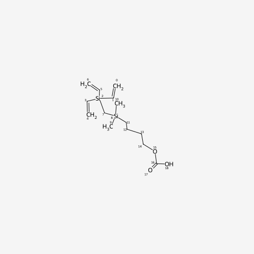 C=C[Si](C=C)(C=C)C[Si](C)(C)CCCCOC(=O)O